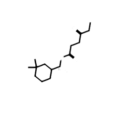 CCC(=O)CCC(=O)O[C@H](C)C1CCCC(C)(C)C1